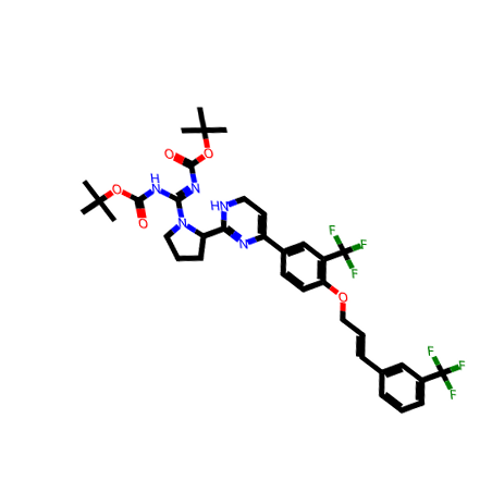 CC(C)(C)OC(=O)N=C(NC(=O)OC(C)(C)C)N1CCCC1C1=NC(c2ccc(OC/C=C/c3cccc(C(F)(F)F)c3)c(C(F)(F)F)c2)=CCN1